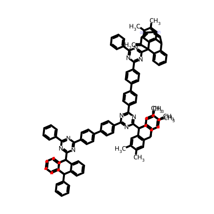 C=C1/C=C\C=C/C2c3ccccc3C1(c1nc(-c3ccccc3)nc(-c3ccc(-c4ccc(-c5nc(-c6ccc(-c7ccc(-c8nc(-c9ccccc9)nc(C9%10c%11ccccc%11C(c%11ccccc%11)(c%11ccccc%119)c9ccccc9%10)n8)cc7)cc6)nc(C67c8cc(C)c(C)cc8C(c8cc(C)c(C)cc86)c6cc(C)c(C)cc67)n5)cc4)cc3)n1)c1cc(C)c(C)cc12